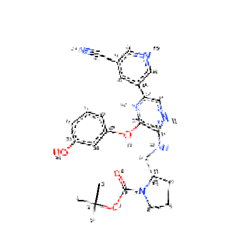 CC(C)(C)OC(=O)N1CCC[C@H]1CNc1ncc(-c2cncc(C#N)c2)nc1Oc1cccc(O)c1